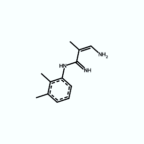 C/C(=C/N)C(=N)Nc1cccc(C)c1C